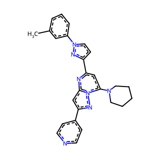 Cc1cccc(-n2ccc(-c3cc(N4CCCCC4)n4nc(-c5ccncc5)cc4n3)n2)c1